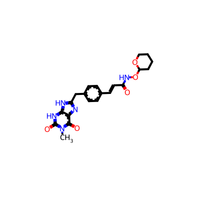 Cn1c(=O)[nH]c2[nH]c(Cc3ccc(/C=C/C(=O)NOC4CCCCO4)cc3)nc2c1=O